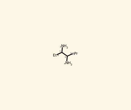 [CH2]CC(N)C(N)CCC